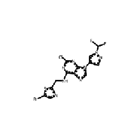 FC(F)n1cc(-n2cnc3c(NCc4ncc(Br)s4)nc(Cl)nc32)cn1